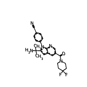 CC(C)(N)c1cc2cc(C(=O)N3CCC(F)(F)CC3)cnc2n1-c1ccc(C#N)cc1